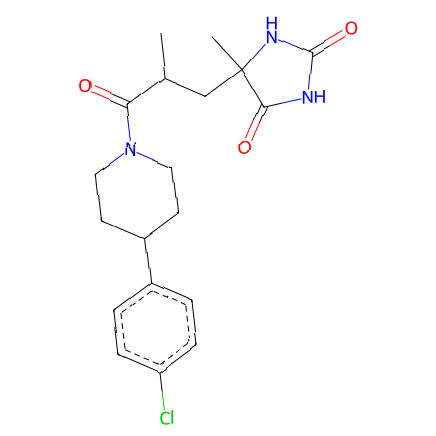 CC(CC1(C)NC(=O)NC1=O)C(=O)N1CCC(c2ccc(Cl)cc2)CC1